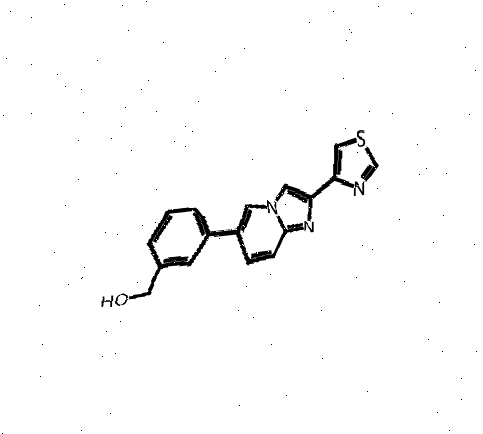 OCc1cccc(-c2ccc3nc(-c4cscn4)cn3c2)c1